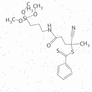 CO[Si](CCCNC(=O)CCC(C)(C#N)SC(=S)c1ccccc1)(OC)OC